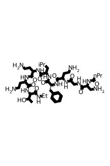 CCCC(=O)NC(CN)C(=O)NCC(=O)NC(CCN)C(=O)N[C@H](Cc1ccccc1)C(=O)NC(CC(C)C)C(=O)NC(CCN)C(=O)NC(CCN)C(=O)NC(C(=O)NCC)C(C)O